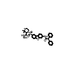 CC1(C)SCCN(S(=O)(=O)c2ccc3oc4cc(NC(=O)C(c5ccccc5)c5ccccc5)ccc4c3c2)C1C(=O)NO